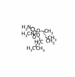 CCn1c(=O)c(OCC=C(C)CCC=C(C)C)c(OCC=C(C)CCC=C(C)C)c2ccc(N)cc21